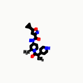 C[C@@H](C(=O)N1CC[C@@H](NC(=O)c2cc(C3CC3)on2)C[C@@H]1C)C1CCNCC1